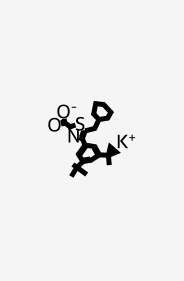 CC(C)(C)c1cc(-c2nc(C(=O)[O-])sc2CC2CCCCC2)cc(C2(C)CC2)c1.[K+]